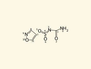 NC(=O)N=S(=O)=O.c1cnoc1